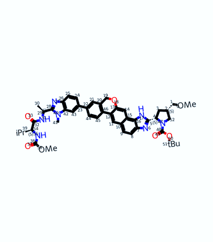 COC[C@H]1C[C@@H](c2nc3ccc4cc5c(cc4c3[nH]2)OCc2cc(-c3ccc4nc([C@H](C)NC(=O)[C@@H](NC(=O)OC)C(C)C)n(C)c4c3)ccc2-5)N(C(=O)OC(C)(C)C)C1